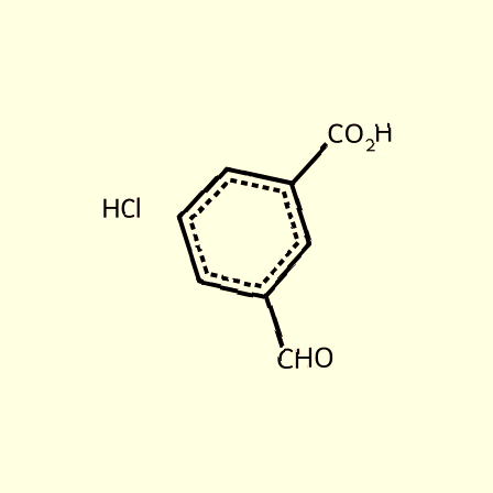 Cl.O=Cc1cccc(C(=O)O)c1